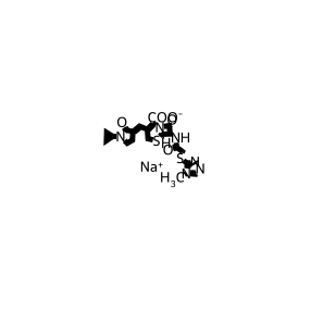 Cn1cnnc1SCC(=O)N[C@@H]1C(=O)N2C(C(=O)[O-])=C(/C=C3\CCN(C4CC4)C3=O)CS[C@H]12.[Na+]